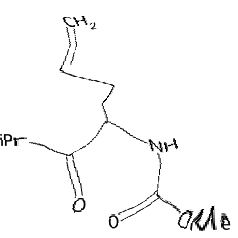 C=CCC(NC(=O)OC)C(=O)C(C)C